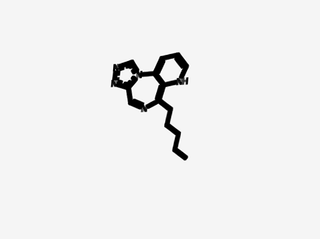 CCCCCC1=C2NC=CC=C2n2cnnc2C=N1